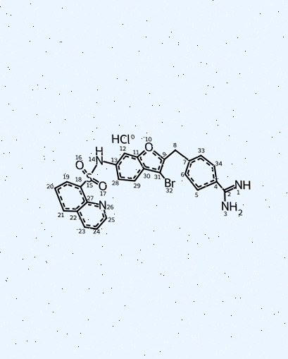 Cl.N=C(N)c1ccc(Cc2oc3cc(NS(=O)(=O)c4cccc5cccnc45)ccc3c2Br)cc1